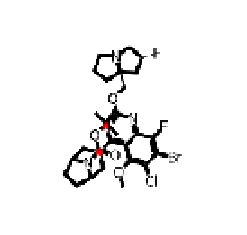 COc1c(Cl)c(Br)c(F)c2nc(OC[C@@]34CCCN3C[C@H](F)C4)nc(N3CC4CCC(C3)N4C(=O)OC(C)(C)C)c12